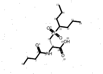 CCCC(=O)N[C@H](CS(=O)(=O)C(CCC)CCC)C(=O)O